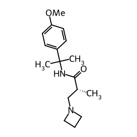 COc1ccc(C(C)(C)NC(=O)[C@H](C)CN2CCC2)cc1